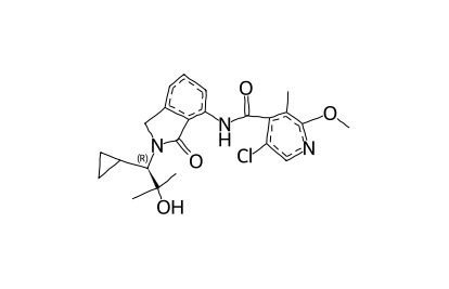 COc1ncc(Cl)c(C(=O)Nc2cccc3c2C(=O)N([C@H](C2CC2)C(C)(C)O)C3)c1C